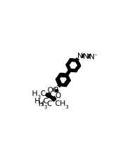 CC1(C)OB(c2ccc(C3CCC(N=[N+]=[N-])CC3)cc2)OC1(C)C